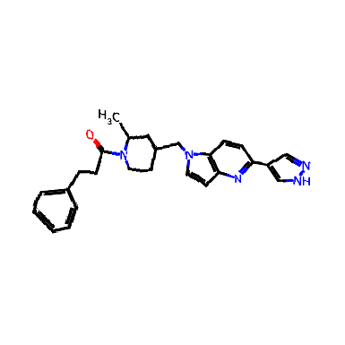 CC1CC(Cn2ccc3nc(-c4cn[nH]c4)ccc32)CCN1C(=O)CCc1ccccc1